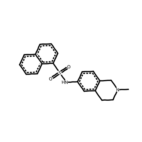 CN1CCc2cc(NS(=O)(=O)c3cccc4ccccc34)ccc2C1